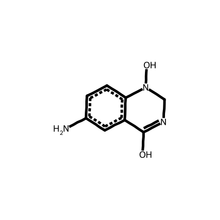 Nc1ccc2c(c1)C(O)=NCN2O